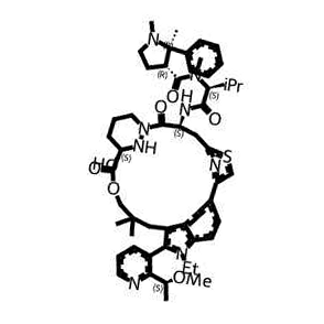 CCn1c(-c2cccnc2[C@H](C)OC)c2c3cc(ccc31)-c1csc(n1)C[C@H](NC(=O)[C@H](C(C)C)N(C)C(=O)[C@@H]1CCN(C)[C@@]1(C)c1ccccc1)C(=O)N1CCC[C@@](O)(N1)C(=O)OCC(C)(C)C2